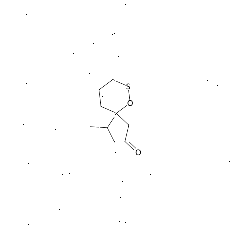 CC(C)C1(CC=O)CCCSO1